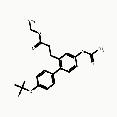 CCOC(=O)CCc1cc(NC(C)=O)ccc1-c1ccc(OC(F)(F)F)cc1